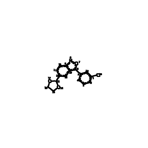 Clc1cccc(-c2onc3ccc(C4OCCO4)cc23)c1